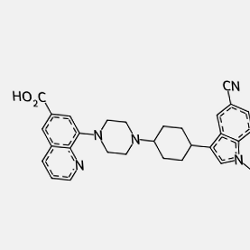 Cn1cc(C2CCC(N3CCN(c4cc(C(=O)O)cc5cccnc45)CC3)CC2)c2cc(C#N)ccc21